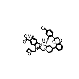 COC(=O)c1ccc2nc(CN3CCC(c4cccc5c4O[C@@H](c4ccc(Cl)cc4F)CO5)CC3C)n(CC3CCO3)c2c1